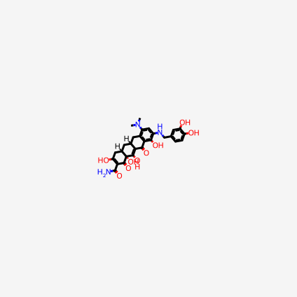 CN(C)c1cc(NCc2ccc(O)c(O)c2)c(O)c2c1C[C@H]1C[C@H]3CC(O)=C(C(N)=O)C(=O)[C@@]3(O)C(O)=C1C2=O